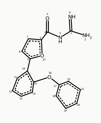 N=C(N)NC(=O)c1ccc(-c2ccccc2Oc2ccccc2)o1